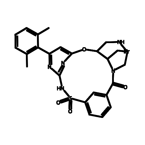 Cc1cccc(C)c1-c1cc2nc(n1)NS(=O)(=O)c1cccc(c1)C(=O)N1CCNCC(O2)C1CC(C)C